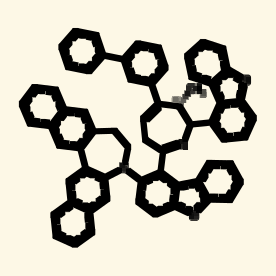 C[C@H]1C(c2cccc(-c3ccccc3)c2)=CCC(c2c(N3CCc4cc5ccccc5cc4-c4cc5ccccc5cc43)ccc3oc4ccccc4c23)=NC1c1cccc2oc3ccccc3c12